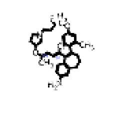 COc1ccc(C2=C(/C(C)=C/C=C(\C)OC3CCN(CCCF)C3)c3ccc(N)cc3CCC2)c(C)c1